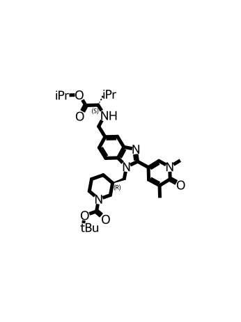 Cc1cc(-c2nc3cc(CN[C@H](C(=O)OC(C)C)C(C)C)ccc3n2C[C@@H]2CCCN(C(=O)OC(C)(C)C)C2)cn(C)c1=O